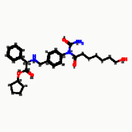 NC(=O)N(C(=O)CCCCCCO)c1ccc(CN[C@H](C(=O)OC2CCCC2)c2ccccc2)cc1